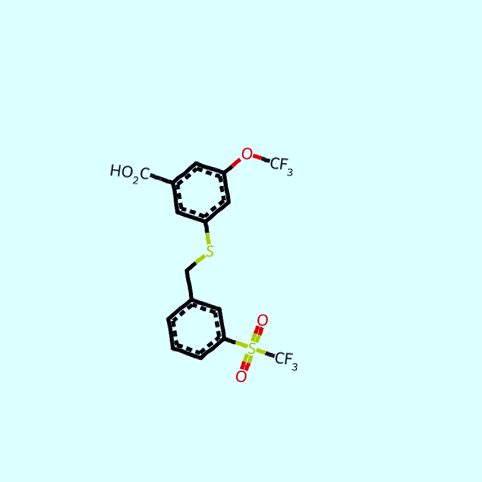 O=C(O)c1cc(OC(F)(F)F)cc(SCc2cccc(S(=O)(=O)C(F)(F)F)c2)c1